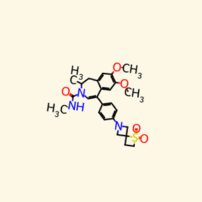 CNC(=O)N1C=C(c2ccc(N3CC4(CCS4(=O)=O)C3)cc2)c2cc(OC)c(OC)cc2CC1C